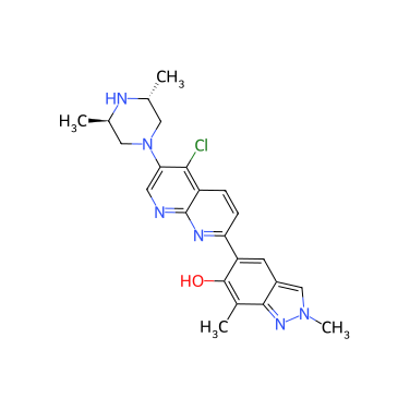 Cc1c(O)c(-c2ccc3c(Cl)c(N4C[C@@H](C)N[C@H](C)C4)cnc3n2)cc2cn(C)nc12